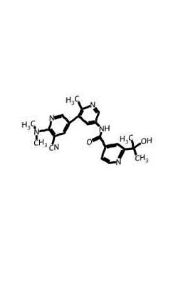 Cc1ncc(NC(=O)c2ccnc(C(C)(C)O)c2)cc1-c1cnc(N(C)C)c(C#N)c1